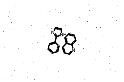 c1ccc(-c2ncc[nH]2)cc1.c1ccc2ncccc2c1